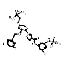 CC(C)(O)COc1cnc(-n2cc(C(=O)Nc3cc(Cl)cc(NS(C)(=O)=O)c3)cn2)c(OCc2cc(F)cc(F)c2)c1